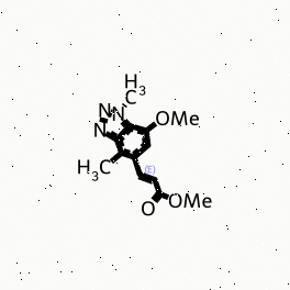 COC(=O)/C=C/c1cc(OC)c2c(nnn2C)c1C